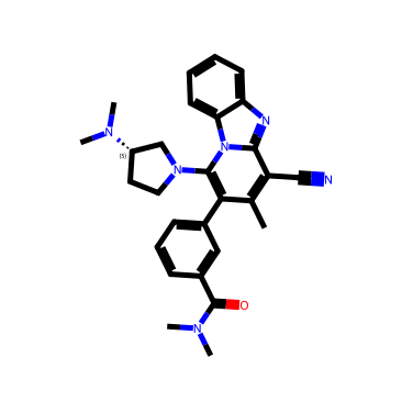 Cc1c(-c2cccc(C(=O)N(C)C)c2)c(N2CC[C@H](N(C)C)C2)n2c(nc3ccccc32)c1C#N